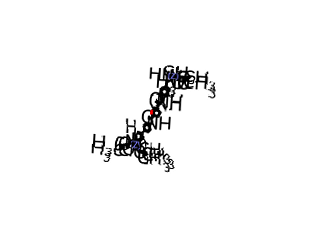 CN/C(=N/C(=O)OC(C)(C)C)NCc1ccc(NC(=O)C23CCC(C(=O)Nc4ccc(C5=CCN(/C(=N\C(=O)OC(C)(C)C)NC(=O)OC(C)(C)C)CC5)cc4)(CC2)C3)cc1